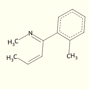 C/C=C\C(=N/C)c1ccccc1C